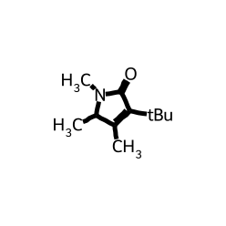 CC1=C(C(C)(C)C)C(=O)N(C)C1C